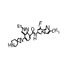 CCn1cc2c(N3CC4(CCNCC4)C3)ccc(C(=O)Nc3cc(F)c4nc(C)cn4c3)c2n1